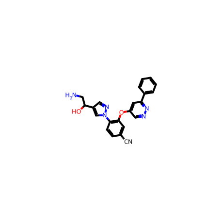 N#Cc1ccc(-n2cc(C(O)CN)cn2)c(Oc2cnnc(-c3ccccc3)c2)c1